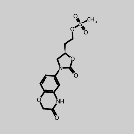 CS(=O)(=O)OCC[C@@H]1CN(c2ccc3c(c2)NC(=O)CO3)C(=O)O1